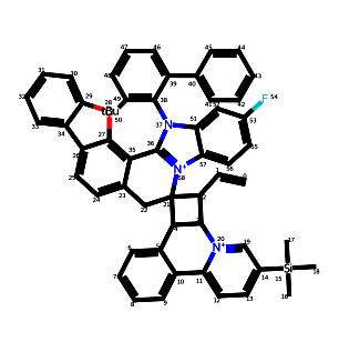 C=CC1C2C(c3ccccc3-c3ccc([Si](C)(C)C)c[n+]32)C12Cc1ccc3c(oc4ccccc43)c1-c1n(-c3c(-c4ccccc4)cccc3C(C)(C)C)c3cc(F)ccc3[n+]12